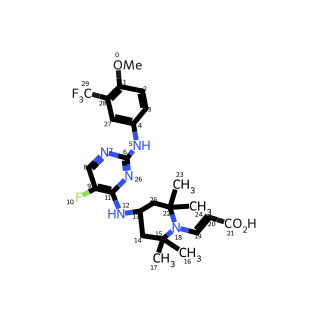 COc1ccc(Nc2ncc(F)c(NC3CC(C)(C)N(C=CC(=O)O)C(C)(C)C3)n2)cc1C(F)(F)F